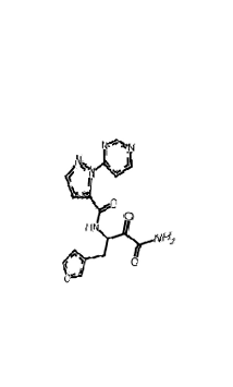 NC(=O)C(=O)C(Cc1ccoc1)NC(=O)c1ccnn1-c1ccncn1